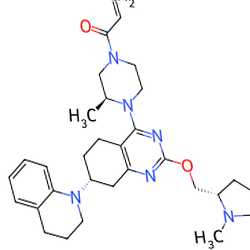 C=CC(=O)N1CCN(c2nc(OC[C@@H]3CCCN3C)nc3c2CC[C@@H](N2CCCc4ccccc42)C3)[C@@H](C)C1